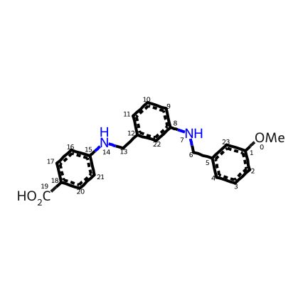 COc1cccc(CNc2cccc(CNc3ccc(C(=O)O)cc3)c2)c1